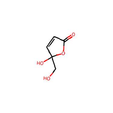 O=C1C=CC(O)(CO)O1